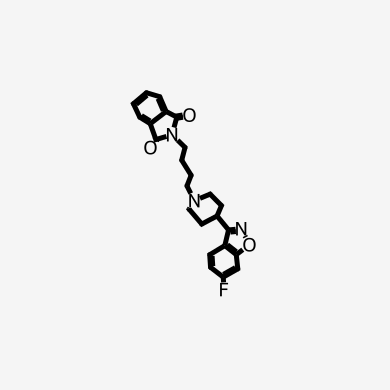 O=C1c2ccccc2C(=O)N1CCCCN1CCC(c2noc3cc(F)ccc23)CC1